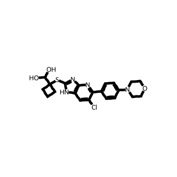 OC(O)C1(Sc2nc3nc(-c4ccc(N5CCOCC5)cc4)c(Cl)cc3[nH]2)CCC1